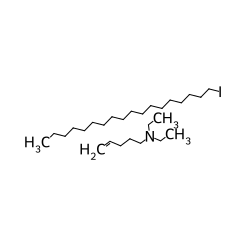 C=CCCCN(CC)CC.CCCCCCCCCCCCCCCCCCI